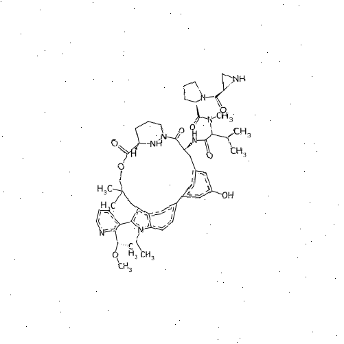 CCn1c(-c2cccnc2[C@H](C)OC)c2c3cc(ccc31)-c1cc(O)cc(c1)C[C@H](NC(=O)C(C(C)C)N(C)C(=O)[C@H]1CCCN1C(=O)[C@H]1CN1)C(=O)N1CCC[C@H](N1)C(=O)OCC(C)(C)C2